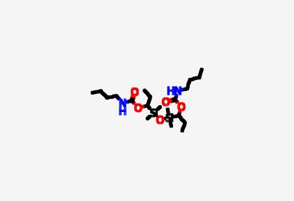 CCCCNC(=O)OC(CC)[Si](C)(C)O[Si](C)(C)C(CC)OC(=O)NCCCC